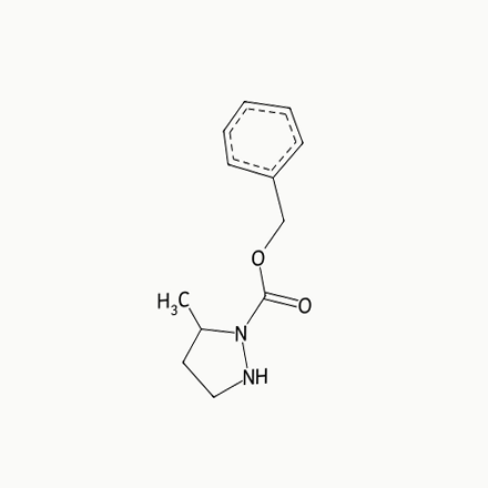 CC1CCNN1C(=O)OCc1ccccc1